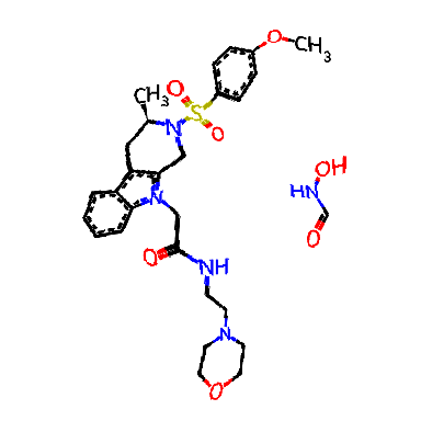 COc1ccc(S(=O)(=O)N2Cc3c(c4ccccc4n3CC(=O)NCCN3CCOCC3)C[C@H]2C)cc1.O=CNO